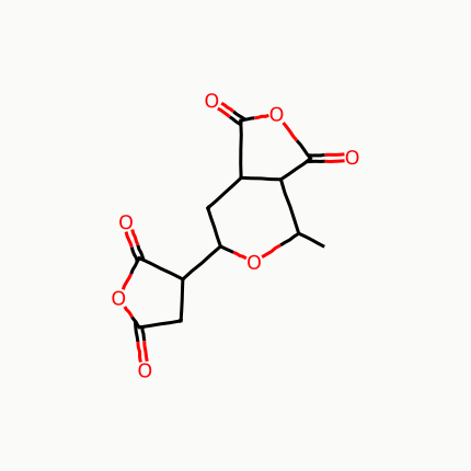 CC1OC(C2CC(=O)OC2=O)CC2C(=O)OC(=O)C12